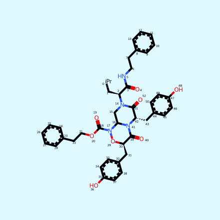 CC(C)C[C@@H](C(=O)NCCc1ccccc1)N1CC2N(C(=O)OCCc3ccccc3)O[C@H](Cc3ccc(O)cc3)C(=O)N2[C@@H](Cc2ccc(O)cc2)C1=O